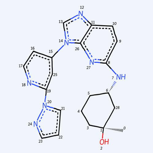 C[C@]1(O)CCC[C@H](Nc2ccc3ncn(-c4ccnc(-n5cccn5)c4)c3n2)C1